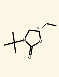 CC[C@H]1CN(C(C)(C)C)C(=O)O1